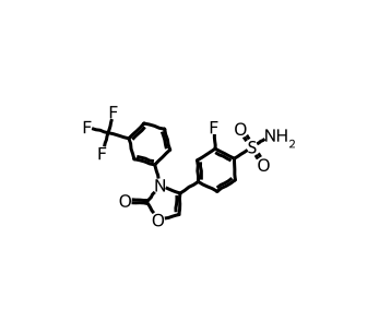 NS(=O)(=O)c1ccc(-c2coc(=O)n2-c2cccc(C(F)(F)F)c2)cc1F